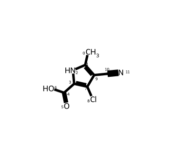 Cc1[nH]c(C(=O)O)c(Cl)c1C#N